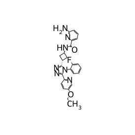 CCOc1ccc(-c2nnc([C@H]3C[C@H](NC(=O)c4cccc(N)n4)C3)n2-c2ccccc2F)nc1